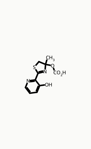 CC1(OC(=O)O)CSC(c2ncccc2O)=N1